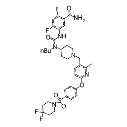 CCCCN(C(=O)Nc1cc(C(N)=O)c(F)cc1F)C1CCN(Cc2ccc(Oc3ccc(S(=O)(=O)N4CCC(F)(F)CC4)cc3)nc2C)CC1